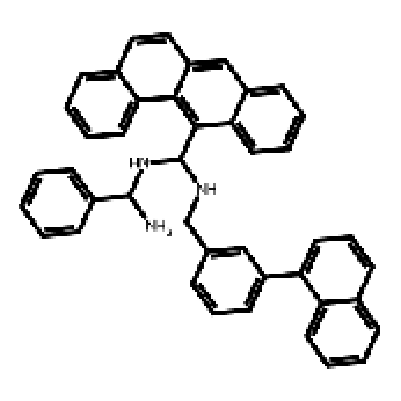 NC(NC(NCc1cccc(-c2cccc3ccccc23)c1)c1c2ccccc2cc2ccc3ccccc3c12)c1ccccc1